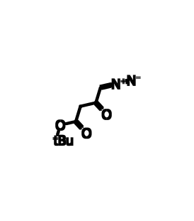 CC(C)(C)OC(=O)CC(=O)C=[N+]=[N-]